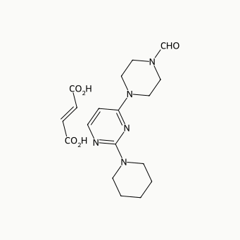 O=C(O)C=CC(=O)O.O=CN1CCN(c2ccnc(N3CCCCC3)n2)CC1